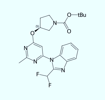 Cc1nc(O[C@H]2CCN(C(=O)OC(C)(C)C)C2)cc(-n2c(C(F)F)nc3ccccc32)n1